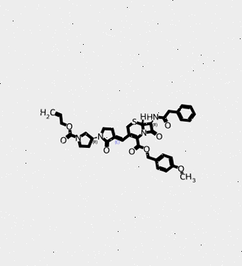 C=CCOC(=O)N1CC[C@@H](N2CC/C(=C\C3=C(C(=O)OCc4ccc(OC)cc4)N4C(=O)[C@@H](NC(=O)Cc5ccccc5)[C@H]4SC3)C2=O)C1